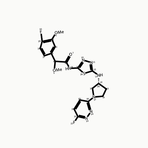 COc1cc(C(OC)C(=O)Nc2nnc(N[C@@H]3CCN(c4ccc(F)nn4)C3)s2)ccc1F